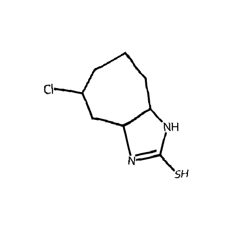 SC1=NC2CC(Cl)CCCC2N1